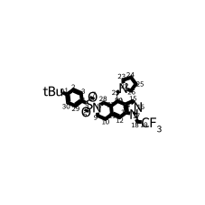 CC(C)(C)c1ccc(S(=O)(=O)N2CCC3=Cc4c(cnn4CC(F)(F)F)[C@@H](CN4CCCC4)C3C2)cc1